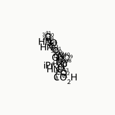 CC(C)CC(C(=O)NC(CC(=O)O)c1ccccc1)N1C(=O)N(Cc2ccc(NC(=O)Nc3ccccc3)cc2)C2(CCCCC2)C1=O